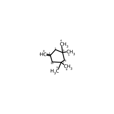 [CH]=C1CC(C)(C)CC(C)(C)C1